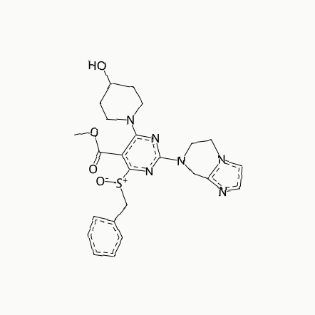 COC(=O)c1c(N2CCC(O)CC2)nc(N2CCn3ccnc3C2)nc1[S+]([O-])Cc1ccccc1